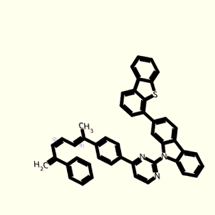 C=C(/C=C\C=C(/C)c1ccc(-c2ccnc(-n3c4ccccc4c4ccc(-c5cccc6c5sc5ccccc56)cc43)n2)cc1)c1ccccc1